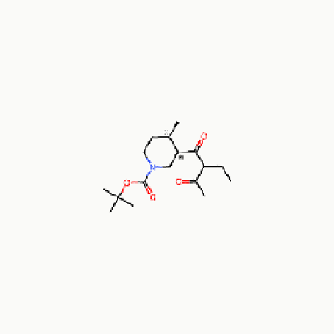 CCC(C(C)=O)C(=O)[C@H]1CN(C(=O)OC(C)(C)C)CC[C@H]1C